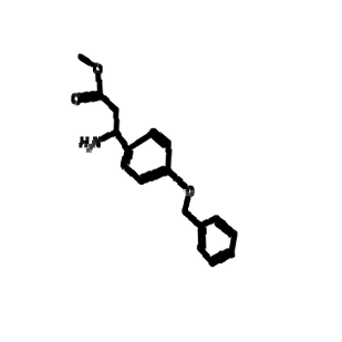 COC(=O)CC(N)c1ccc(OCc2ccccc2)cc1